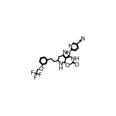 CC(=O)Nc1c2c(nn1-c1ccc(C#N)cn1)CC(CCc1cccc(OCC(F)(F)F)c1)NC2=O